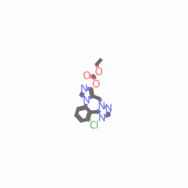 CCOC(=O)Oc1ncn2c1Cn1ncnc1-c1c(Cl)cccc1-2